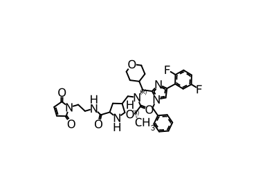 C[C@H](O)C(=O)N(CC1CNC(C(=O)NCCN2C(=O)C=CC2=O)C1)[C@@H](c1nc(-c2cc(F)ccc2F)cn1Cc1ccccc1)C1CCOCC1